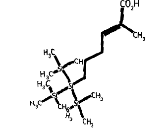 C/C(=C\CCC[Si]([Si](C)(C)C)([Si](C)(C)C)[Si](C)(C)C)C(=O)O